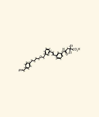 CCC(CC)(CC(=O)Nc1cccc(/C=C/c2cccc(COCCCCc3ccc(CC(C)C)cc3)n2)c1)C(=O)O